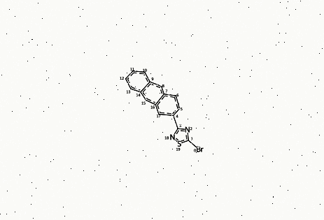 Brc1nc(-c2ccc3cc4ccccc4cc3c2)ns1